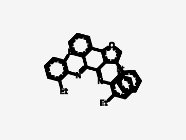 CCc1cccc(CC)c1/N=C1/C(=N/c2c(CC)cccc2CC)c2c(-c3ccccc3)coc2-c2ccccc21